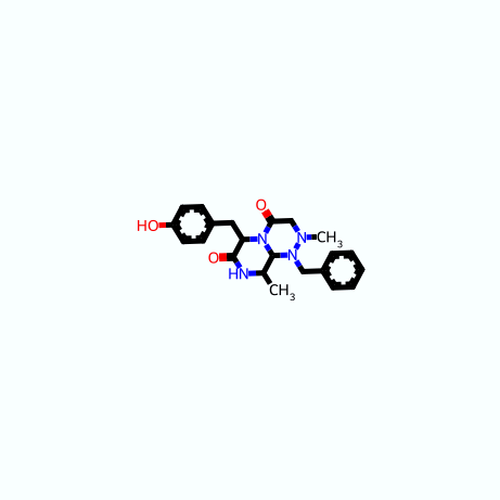 CC1NC(=O)C(Cc2ccc(O)cc2)N2C(=O)CN(C)N(Cc3ccccc3)C12